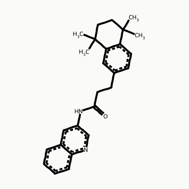 CC1(C)CCC(C)(C)c2cc(CCC(=O)Nc3cnc4ccccc4c3)ccc21